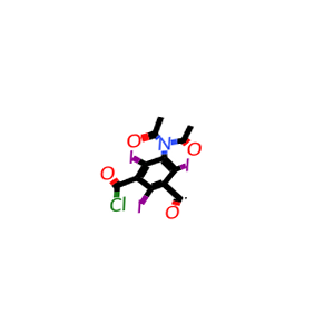 CC(=O)N(C(C)=O)c1c(I)c([C]=O)c(I)c(C(=O)Cl)c1I